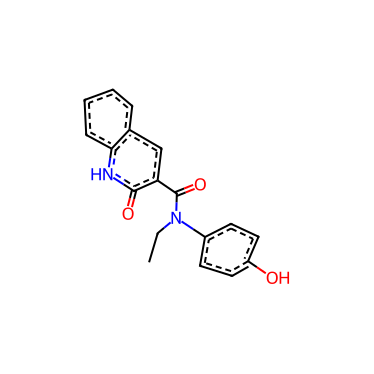 CCN(C(=O)c1cc2ccccc2[nH]c1=O)c1ccc(O)cc1